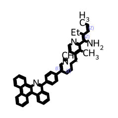 C=N/C=C(\C=C/CCc1ccnc(/C(N)=C(/C=C\C)CC)c1C)c1ccc(-c2nc3c4ccccc4c4ccccc4c3c3ccccc23)cc1